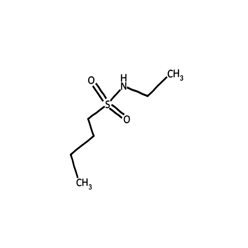 CCCCS(=O)(=O)NCC